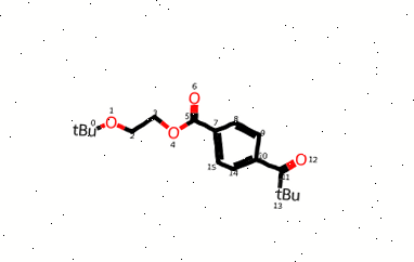 CC(C)(C)OCCOC(=O)c1ccc(C(=O)C(C)(C)C)cc1